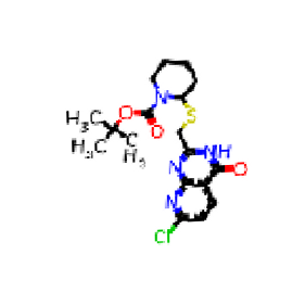 CC(C)(C)OC(=O)N1CCCCC1SCc1nc2nc(Cl)ccc2c(=O)[nH]1